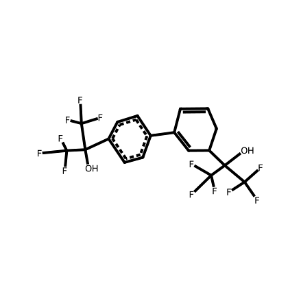 OC(c1ccc(C2=CC(C(O)(C(F)(F)F)C(F)(F)F)CC=C2)cc1)(C(F)(F)F)C(F)(F)F